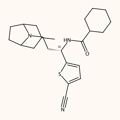 CC1CC2CCC(C1)N2CC[C@H](NC(=O)C1CCCCC1)c1ccc(C#N)s1